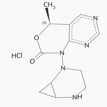 C[C@@H]1OC(=O)N(N2CCNC3CC32)c2ncncc21.Cl